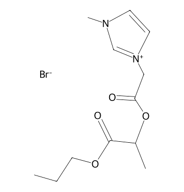 CCCOC(=O)C(C)OC(=O)C[n+]1ccn(C)c1.[Br-]